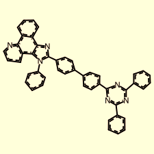 c1ccc(-c2nc(-c3ccccc3)nc(-c3ccc(-c4ccc(-c5nc6c7ccccc7c7ncccc7c6n5-c5ccccc5)cc4)cc3)n2)cc1